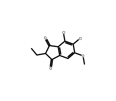 CCC1C(=O)c2cc(OC)c(Cl)c(Cl)c2C1=O